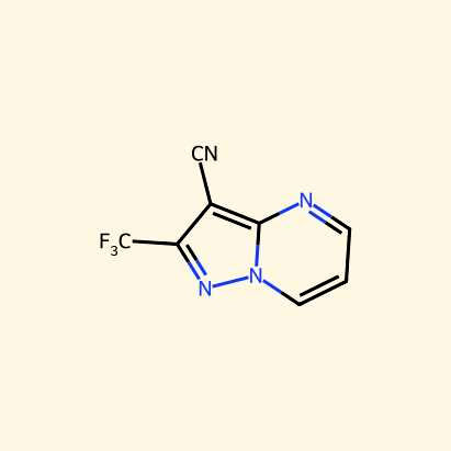 N#Cc1c(C(F)(F)F)nn2cccnc12